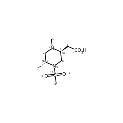 C[C@@H]1CN(C)[C@@H](CC(=O)O)CN1S(C)(=O)=O